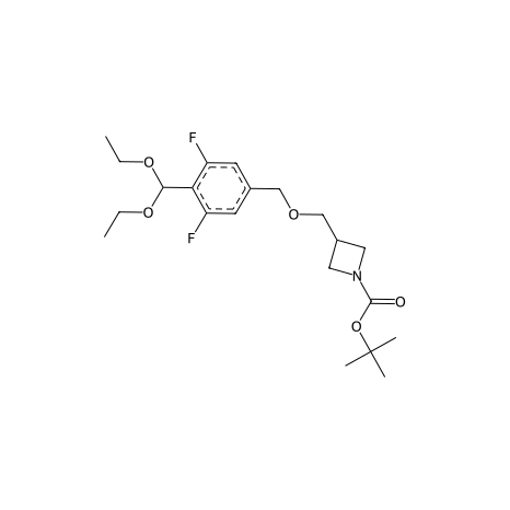 CCOC(OCC)c1c(F)cc(COCC2CN(C(=O)OC(C)(C)C)C2)cc1F